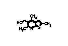 Cc1cc2c(C)c(CO)c(C)nc2s1